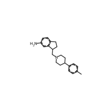 Cc1ccc(C2CCN(CC3CCc4ccc(N)cc43)CC2)cc1